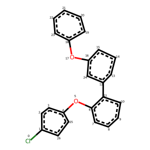 Clc1ccc(Oc2ccc[c]c2-c2cccc(Oc3ccccc3)c2)cc1